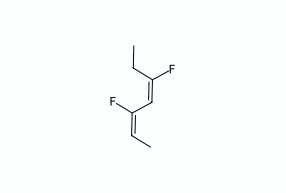 C/C=C(F)\C=C(\F)CC